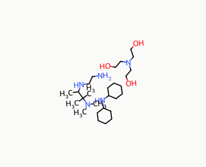 C1CCC(NC2CCCCC2)CC1.CC(NCCN)C(C)(C)N(C)C.OCCN(CCO)CCO